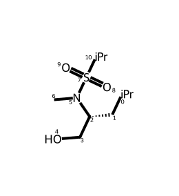 CC(C)C[C@H](CO)N(C)S(=O)(=O)C(C)C